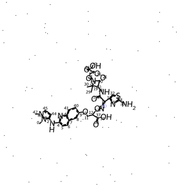 Cn1c(Nc2ccc3cc(OCC(O/N=C(\C(=O)N[C@@H]4C(=O)N(OS(=O)(=O)O)C4(C)C)c4csc(N)n4)C(=O)O)ccc3n2)cc[n+]1C